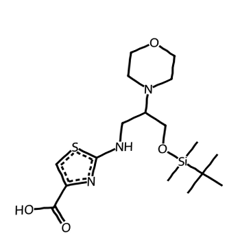 CC(C)(C)[Si](C)(C)OCC(CNc1nc(C(=O)O)cs1)N1CCOCC1